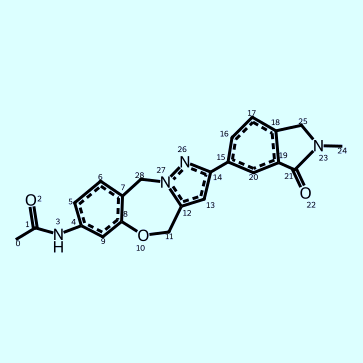 CC(=O)Nc1ccc2c(c1)OCc1cc(-c3ccc4c(c3)C(=O)N(C)C4)nn1C2